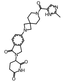 Cc1ncc(C(=O)N2CCC3(CC2)CN(c2ccc4c(c2)CN(C2CCC(=O)NC2=O)C4=O)C3)[nH]1